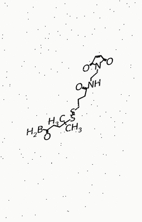 BC(=O)CCC(C)(C)SSCCCC(=O)NCCN1C(=O)C=CC1=O